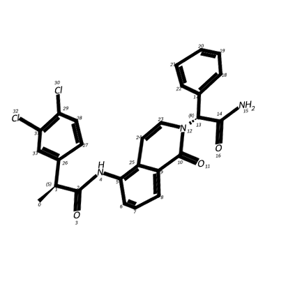 C[C@H](C(=O)Nc1cccc2c(=O)n([C@@H](C(N)=O)c3ccccc3)ccc12)c1ccc(Cl)c(Cl)c1